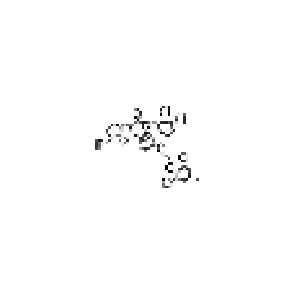 Cc1cc(Cl)c(OCCOc2ccc(CC(CN3CC[C@H](C(C)C)C3=O)C(=O)N(Cc3cccc(Cl)c3Cl)C3CC3)cc2)c(Cl)c1